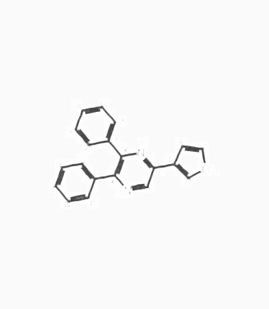 c1ccc(-c2ncc(-c3ccoc3)nc2-c2ccccc2)cc1